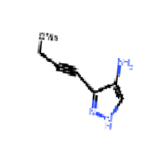 COCC#Cc1n[nH]cc1N